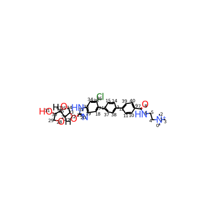 C[N+](C)(C)CCNC(=O)c1ccc(-c2ccc(-c3cc4nc(O[C@@H]5CO[C@H]6[C@@H]5OC[C@H]6O)[nH]c4cc3Cl)cc2)cc1